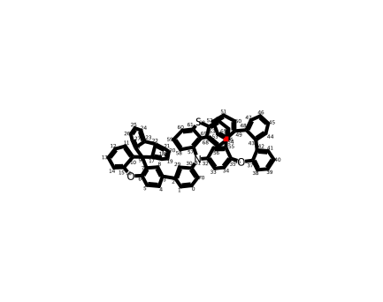 c1cc(-c2ccc3c(c2)C2(c4ccccc4O3)c3ccccc3-c3ccccc32)cc(N(c2ccc3oc4ccccc4c4ccccc4c4ccccc4c3c2)c2cccc3sc4ccccc4c23)c1